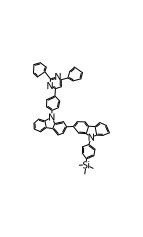 C[Si](C)(C)c1ccc(-n2c3ccccc3c3ccc(-c4ccc5c6ccccc6n(-c6ccc(-c7cc(-c8ccccc8)nc(-c8ccccc8)n7)cc6)c5c4)cc32)cc1